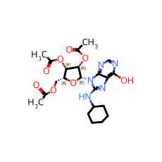 CC(=O)OC[C@H]1O[C@@H](n2c(NC3CCCCC3)nc3c(O)ncnc32)[C@H](OC(C)=O)[C@@H]1OC(C)=O